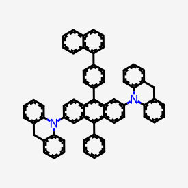 c1ccc(-c2c3ccc(N4c5ccccc5Cc5ccccc54)cc3c(-c3ccc(-c4cccc5ccccc45)cc3)c3ccc(N4c5ccccc5Cc5ccccc54)cc23)cc1